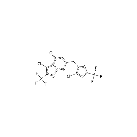 O=c1cc(Cn2nc(C(F)(F)F)cc2Cl)nc2sc(C(F)(F)F)c(Cl)n12